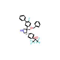 OC(c1ccc([C@@H]2CNC[C@]2(COCc2ccccc2)c2ccc(F)c(-c3ccccc3)c2)cc1)(C(F)(F)F)C(F)(F)F